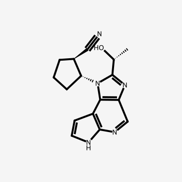 C[C@@H](O)c1nc2cnc3[nH]ccc3c2n1[C@@H]1CCC[C@H]1C#N